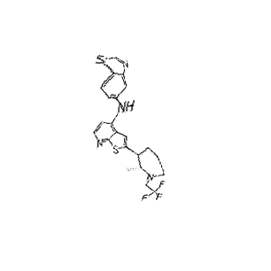 C[C@@H]1[C@@H](c2cc3c(Nc4ccc5scnc5c4)ccnc3s2)CCCN1CC(F)(F)F